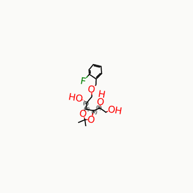 CC1(C)O[C@H]([C@H](O)CO)[C@@H]([C@H](O)COCc2ccccc2F)O1